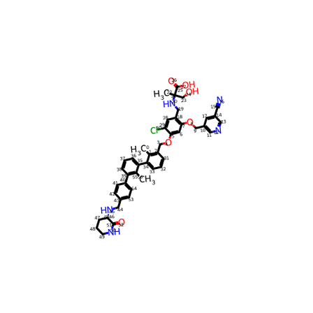 Cc1c(COc2cc(OCc3cncc(C#N)c3)c(CNC(C)(CO)C(=O)O)cc2Cl)cccc1-c1cccc(-c2ccc(CN[C@H]3CCCNC3=O)cc2)c1C